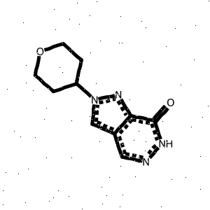 O=c1[nH]ncc2cn(C3CCOCC3)nc12